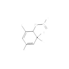 CC1(Br)C=C(Br)C=C(Cl)C1N[N+](=O)[O-]